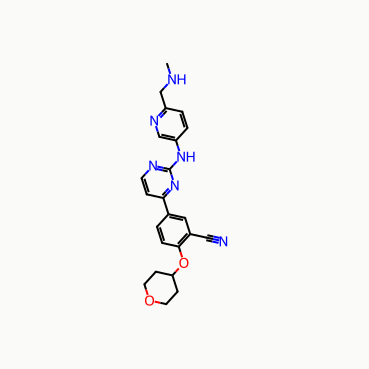 CNCc1ccc(Nc2nccc(-c3ccc(OC4CCOCC4)c(C#N)c3)n2)cn1